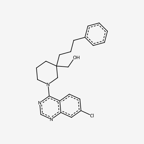 OCC1(CCCc2ccccc2)CCCN(c2ncnc3cc(Cl)ccc23)C1